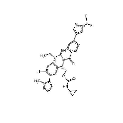 CCNC(=N)N(C(=O)c1ccc(-c2cnn(C(F)F)c2)cc1)[C@H](COC(=O)NC1CC1)c1ccc(Cl)c(-c2ncnn2C)c1